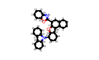 c1ccc2c(c1)cc(-c1nc3ccccc3o1)c1oc3c(-n4c5ccccc5c5ccccc54)cccc3c12